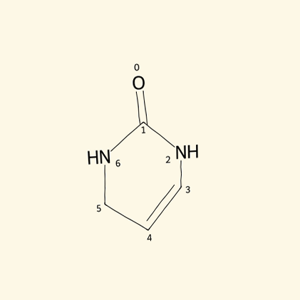 O=C1NC=CCN1